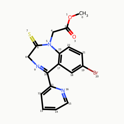 COC(=O)CN1C(=S)CN=C(c2ccccn2)c2cc(Br)ccc21